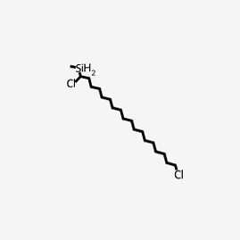 C[SiH2]C(Cl)CCCCCCCCCCCCCCCCCCl